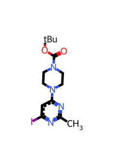 Cc1nc(I)cc(N2CCN(C(=O)OC(C)(C)C)CC2)n1